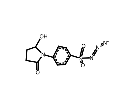 [N-]=[N+]=NS(=O)(=O)c1ccc(N2C(=O)CCC2O)cc1